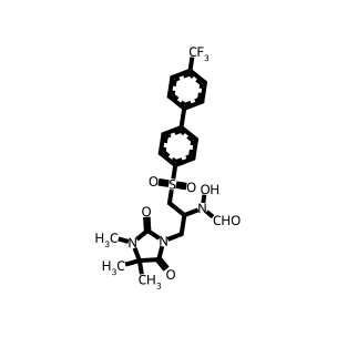 CN1C(=O)N(CC(CS(=O)(=O)c2ccc(-c3ccc(C(F)(F)F)cc3)cc2)N(O)C=O)C(=O)C1(C)C